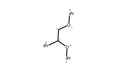 CC(C)OCC(OC(C)C)C(C)C